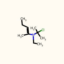 CC/C=C(\C)N(CC)C(C)(C)Cl